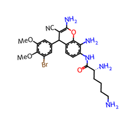 COc1cc(C2C(C#N)=C(N)Oc3c2ccc(NC(=O)[C@H](N)CCCCN)c3N)cc(Br)c1OC